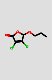 CCCOC1OC(=O)C(Cl)=C1Cl